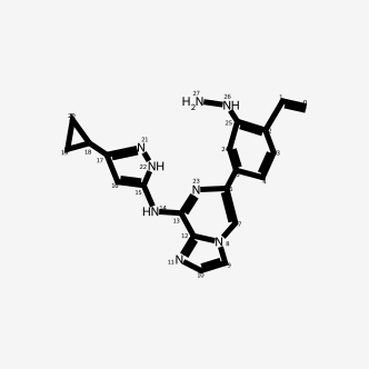 C=Cc1ccc(-c2cn3ccnc3c(Nc3cc(C4CC4)n[nH]3)n2)cc1NN